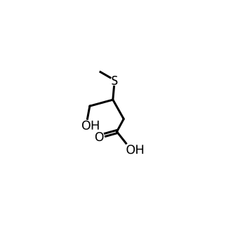 CSC(CO)CC(=O)O